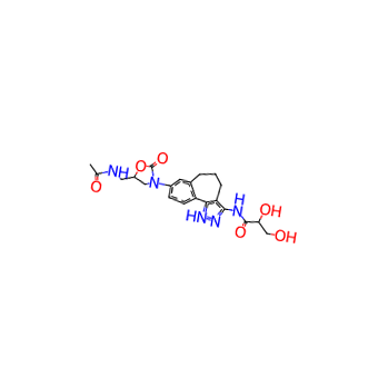 CC(=O)NCC1CN(c2ccc3c(c2)CCCc2c(NC(=O)C(O)CO)n[nH]c2-3)C(=O)O1